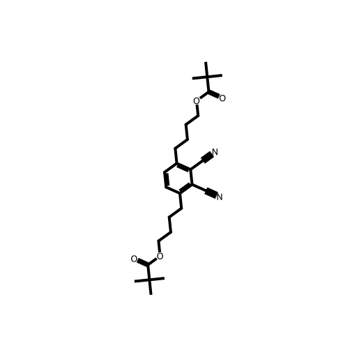 CC(C)(C)C(=O)OCCCCc1ccc(CCCCOC(=O)C(C)(C)C)c(C#N)c1C#N